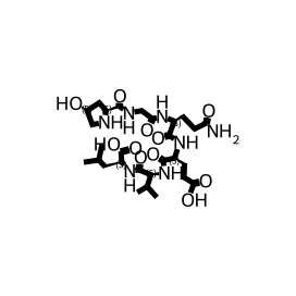 CC(C)C[C@H](NC(=O)[C@@H](NC(=O)[C@H](CCC(=O)O)NC(=O)[C@H](CCC(N)=O)NC(=O)CNC(=O)[C@@H]1C[C@@H](O)CN1)C(C)C)C(=O)O